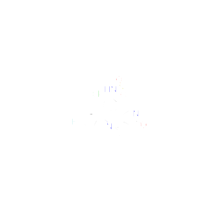 CCS(=O)(=O)Nc1cc2c(cc1Cl)C(c1ccc(F)cc1)=N[C@@H](C1CC1)c1cc(=O)n(C)cc1-2